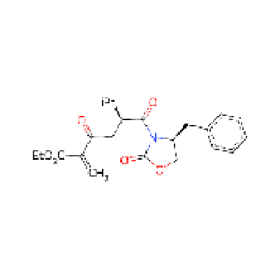 C=C(C(=O)C[C@H](C(=O)N1C(=O)OC[C@@H]1Cc1ccccc1)C(C)C)C(=O)OCC